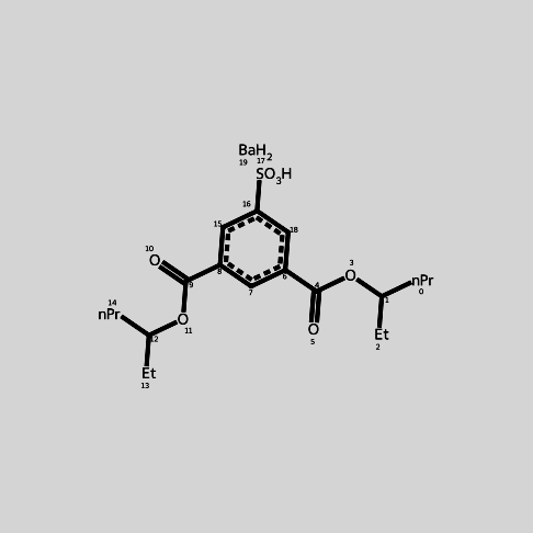 CCCC(CC)OC(=O)c1cc(C(=O)OC(CC)CCC)cc(S(=O)(=O)O)c1.[BaH2]